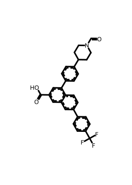 O=CN1CCC(c2ccc(-c3cc(C(=O)O)cc4cc(-c5ccc(C(F)(F)F)cc5)ccc34)cc2)CC1